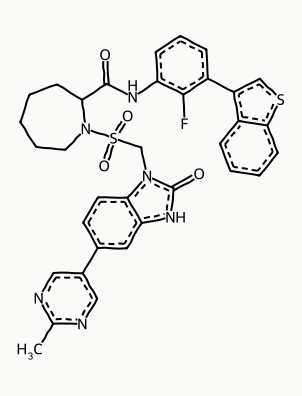 Cc1ncc(-c2ccc3c(c2)[nH]c(=O)n3CS(=O)(=O)N2CCCCCC2C(=O)Nc2cccc(-c3csc4ccccc34)c2F)cn1